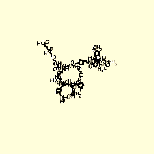 CC[C@H](NC(C)=O)C(=O)N[C@@H](Cc1ccc(OC)cc1)C(=O)N1CCC[C@@]1(C)C(=O)NCCc1ccc(CN2CCCCCCn3cc(c4cc(F)ccc43)C[C@@H]3NC(=O)[C@H](Cc4cccc(c4)CNC(=O)CO[C@H]4CCN(C3=O)C4C)NC(=O)[C@@H](C)NC(=O)[C@H](CNC(=O)COCCOCCNC(=O)CCCC(=O)O)NC(=O)CCC2=O)cc1